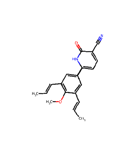 C/C=C/c1cc(-c2ccc(C#N)c(=O)[nH]2)cc(/C=C/C)c1OC